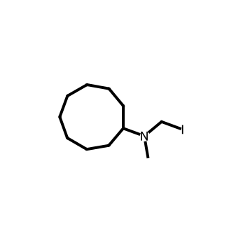 CN(CI)C1CCCCCCCC1